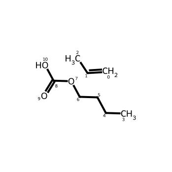 C=CC.CCCCOC(=O)O